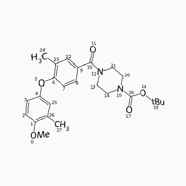 COc1ccc(Oc2ccc(C(=O)N3CCN(C(=O)OC(C)(C)C)CC3)cc2C)cc1C